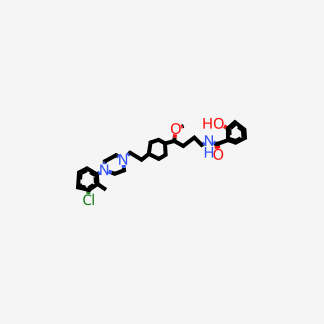 COC(CCCNC(=O)c1ccccc1O)C1CCC(CCN2CCN(c3cccc(Cl)c3C)CC2)CC1